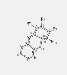 Fc1c(F)c(F)c2cc3[c]cc[c]c3cc2c1F